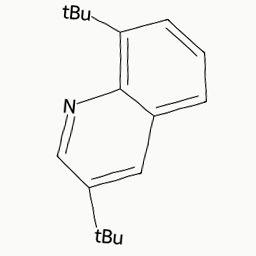 CC(C)(C)c1cnc2c(C(C)(C)C)cccc2c1